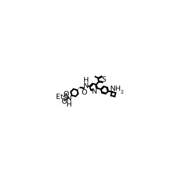 CCS(=O)(=O)N[C@H]1CC[C@H](CC(=O)Nc2cnc(-c3ccc(C4(N)CCC4)cc3)c(-c3cscc3C)c2)CC1